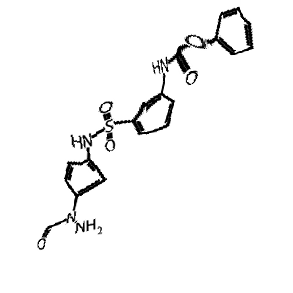 NN(C=O)c1ccc(NS(=O)(=O)c2cccc(NC(=O)Oc3ccccc3)c2)cc1